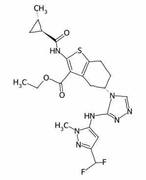 CCOC(=O)c1c(NC(=O)[C@H]2C[C@@H]2C)sc2c1C[C@@H](n1cnnc1Nc1cc(C(F)F)nn1C)CC2